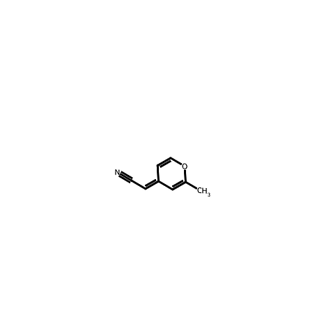 CC1=CC(=CC#N)C=CO1